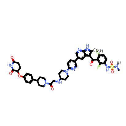 CCN(C)S(=O)(=O)Nc1ccc(F)c(C(=O)c2c(C(=O)O)[nH]c3ncc(-c4ccc(N5CCC(NCC(=O)N6CCC(c7ccc(OC8CCC(=O)NC8=O)cc7)CC6)CC5)nc4)cc23)c1F